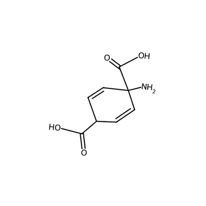 NC1(C(=O)O)C=CC(C(=O)O)C=C1